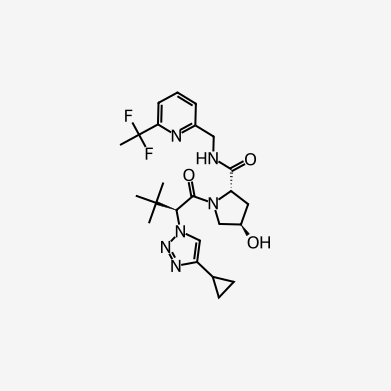 CC(F)(F)c1cccc(CNC(=O)[C@@H]2C[C@@H](O)CN2C(=O)[C@@H](n2cc(C3CC3)nn2)C(C)(C)C)n1